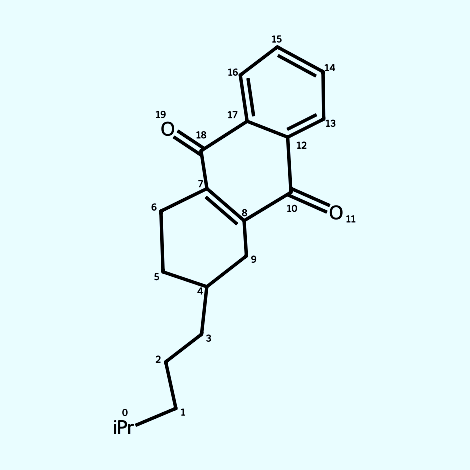 CC(C)CCCC1CCC2=C(C1)C(=O)c1ccccc1C2=O